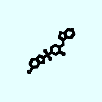 O=C1CN(S(=O)(=O)c2cc3ccc(Cl)cc3s2)CCN1Cc1csc2cnccc12